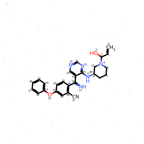 C=CC(O)N1CCC[C@@H](Nc2ncncc2C(=N)c2ccc(Oc3ccccc3)cc2C#N)C1